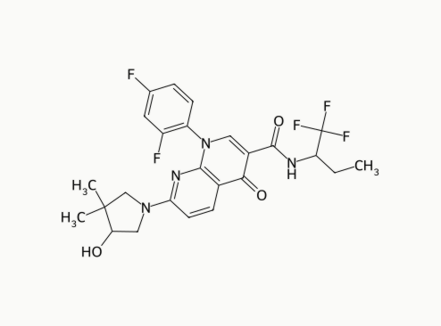 CCC(NC(=O)c1cn(-c2ccc(F)cc2F)c2nc(N3CC(O)C(C)(C)C3)ccc2c1=O)C(F)(F)F